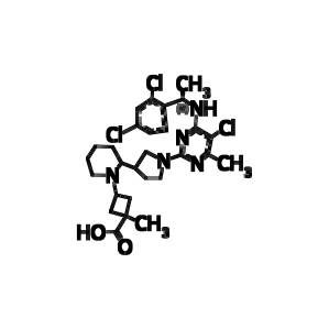 Cc1nc(N2CCC(C3CCCCN3C3CC(C)(C(=O)O)C3)C2)nc(N[C@H](C)c2ccc(Cl)cc2Cl)c1Cl